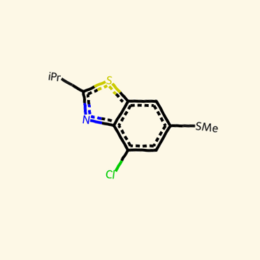 CSc1cc(Cl)c2nc(C(C)C)sc2c1